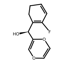 O[C@H](C1=COC=CO1)C1=C(F)C=CCC1